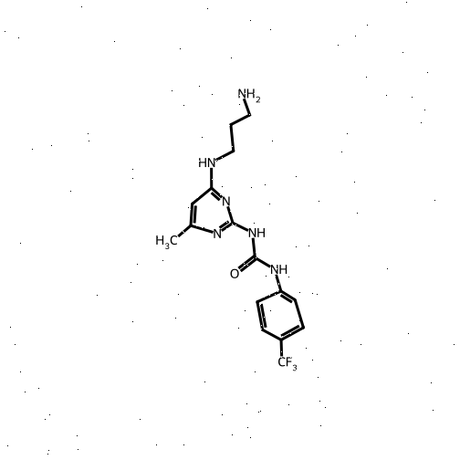 Cc1cc(NCCCN)nc(NC(=O)Nc2ccc(C(F)(F)F)cc2)n1